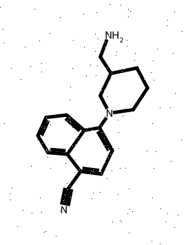 N#Cc1ccc(N2CCCC(CN)C2)c2ccccc12